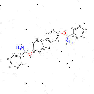 NC(Oc1ccc2c(c1)Cc1cc(OC(N)c3ccccc3)ccc1-2)c1ccccc1